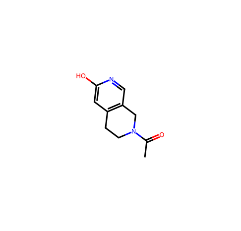 CC(=O)N1CCc2cc(O)ncc2C1